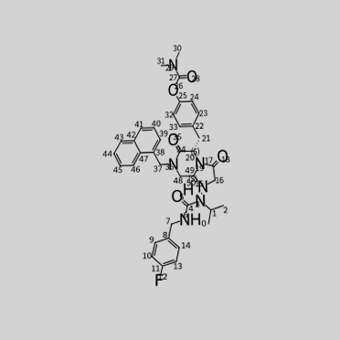 CC(C)N(C(=O)NCc1ccc(F)cc1)N1CC(=O)N2[C@@H](Cc3ccc(OC(=O)N(C)C)cc3)C(=O)N(Cc3cccc4ccccc34)C[C@@H]21